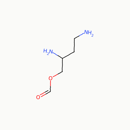 NCCC(N)COC=O